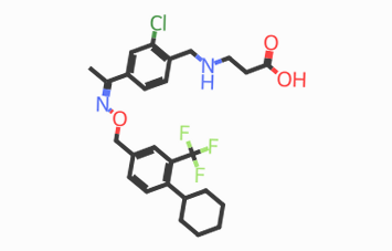 CC(=NOCc1ccc(C2CCCCC2)c(C(F)(F)F)c1)c1ccc(CNCCC(=O)O)c(Cl)c1